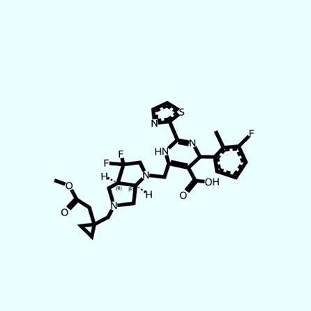 COC(=O)CC1(CN2C[C@@H]3[C@H](C2)N(CC2=C(C(=O)O)C(c4cccc(F)c4C)N=C(c4nccs4)N2)CC3(F)F)CC1